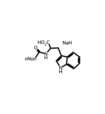 CCCCCCCCCC(=O)NC(Cc1c[nH]c2ccccc12)C(=O)O.[NaH]